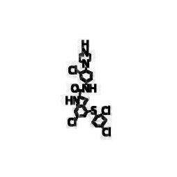 O=C(Nc1ccc(N2CCNCC2)c(Cl)c1)c1cc2c(Sc3ccc(Cl)cc3Cl)cc(Cl)cc2[nH]1